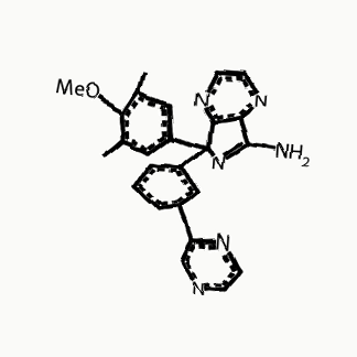 COc1c(C)cc(C2(c3cccc(-c4cnccn4)c3)N=C(N)c3nccnc32)cc1C